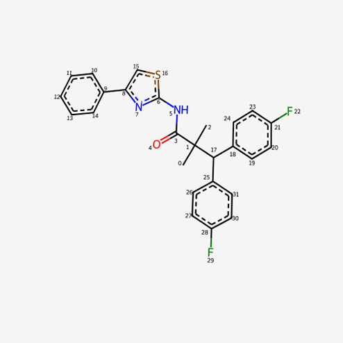 CC(C)(C(=O)Nc1nc(-c2ccccc2)cs1)C(c1ccc(F)cc1)c1ccc(F)cc1